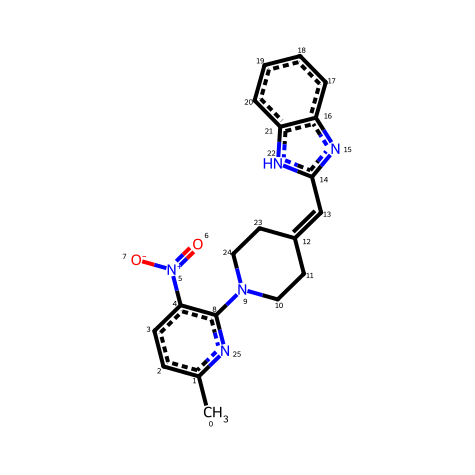 Cc1ccc([N+](=O)[O-])c(N2CCC(=Cc3nc4ccccc4[nH]3)CC2)n1